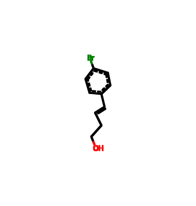 OCCC=Cc1ccc(Br)cc1